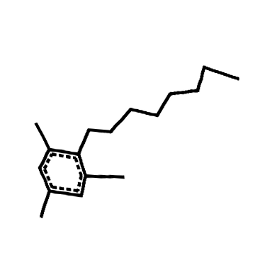 CCCCCCCCc1c(C)cc(C)cc1C